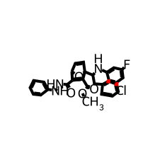 COC(=O)C1=C(C(=O)NNc2ccccc2)C2C=CC1(C(Cc1ccccc1)Nc1cc(F)cc(Cl)c1)O2